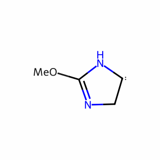 COC1=NC[C]N1